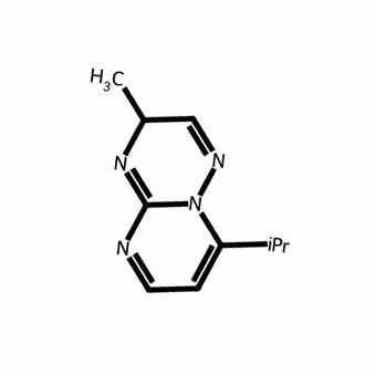 CC1C=NN2C(C(C)C)=CC=NC2=N1